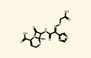 O=C(O)CON=C(C(=O)NC1C(=O)N2C(C(=O)O)=CCS[C@@H]12)c1cscn1